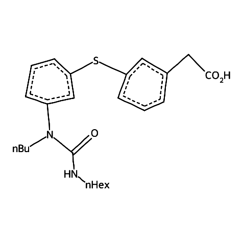 CCCCCCNC(=O)N(CCCC)c1cccc(Sc2cccc(CC(=O)O)c2)c1